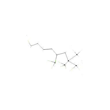 FC(F)(F)C(CCCCS)CC(C(F)(F)F)(C(F)(F)F)C(F)(F)F